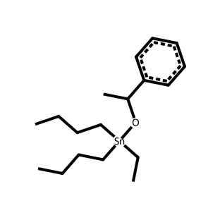 CCC[CH2][Sn]([CH2]C)([CH2]CCC)[O]C(C)c1ccccc1